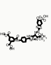 CC(C)(C)c1nn2nc(-c3ccc(NC(=O)c4cc(C(=O)OO)cc(C(=O)OO)c4)cc3)[nH]c2c1N=Nc1nc2cc(Cl)c(S(=O)(=O)O)cc2s1